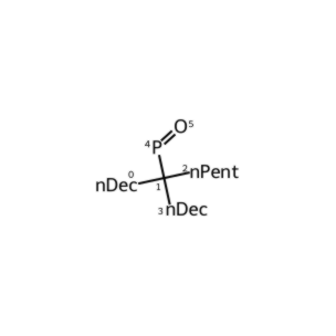 CCCCCCCCCCC(CCCCC)(CCCCCCCCCC)P=O